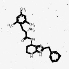 Cc1cc(C)c(C[C@H](N)C(=O)N[C@@H]2CCNc3[nH]c(Cc4ccccc4)nc32)c(C)c1